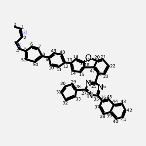 C/C=C\C=C/c1ccc(-c2ccc(-c3ccc4c(c3)oc3cccc(-c5nc(-c6ccccc6)nc(-c6ccc7ccccc7c6)n5)c34)cc2)cc1